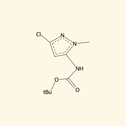 Cn1nc(Cl)cc1NC(=O)OC(C)(C)C